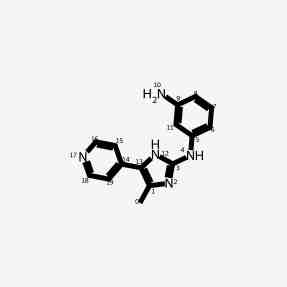 Cc1nc(Nc2cccc(N)c2)[nH]c1-c1ccncc1